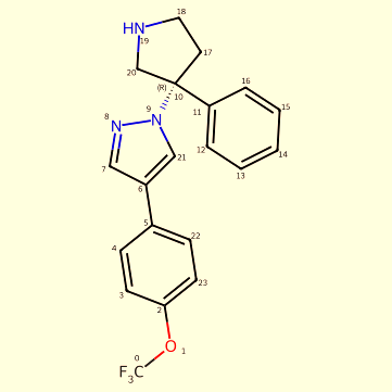 FC(F)(F)Oc1ccc(-c2cnn([C@@]3(c4ccccc4)CCNC3)c2)cc1